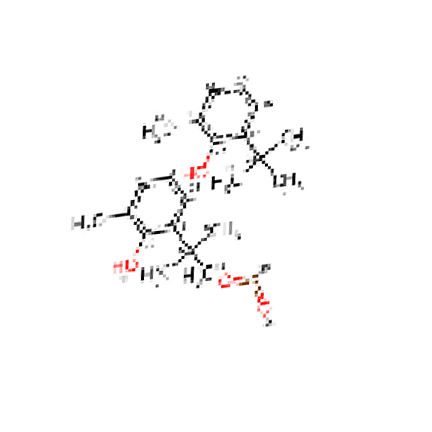 Cc1cccc(C(C)(C)C)c1O.Cc1cccc(C(C)(C)C)c1O.O=S=O